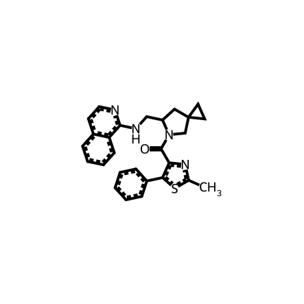 Cc1nc(C(=O)N2CC3(CC3)CC2CNc2nccc3ccccc23)c(-c2ccccc2)s1